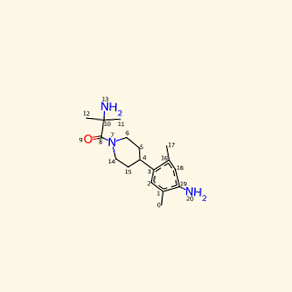 Cc1cc(C2CCN(C(=O)C(C)(C)N)CC2)c(C)cc1N